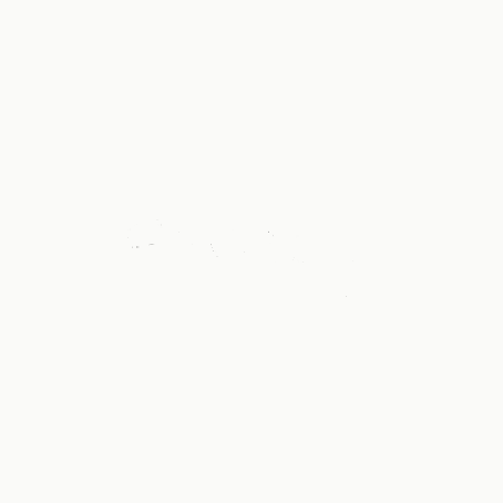 COc1cc(C(OC)OC)cc2sc(-c3ccc(OCc4ccccc4)cc3)nc12